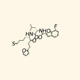 CC(C)C[C@H](NC(=O)c1cc2cccc(F)c2o1)C(=O)N[C@@H](CCCC=S)C(=O)CCc1ccco1